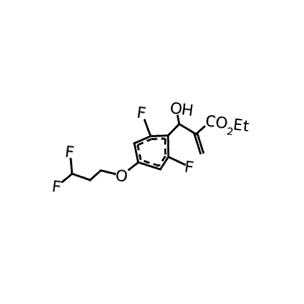 C=C(C(=O)OCC)C(O)c1c(F)cc(OCCC(F)F)cc1F